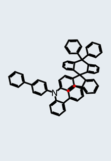 c1ccc(-c2ccc(N(c3ccc4c(c3)-c3ccccc3C43c4ccccc4C(c4ccccc4)(c4ccccc4)c4ccccc43)c3ccccc3-c3ccccc3)cc2)cc1